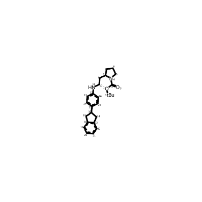 CC(C)(C)OC(=O)N1CCCC1CCNc1ccc(C2Cc3ccccc3C2)cc1